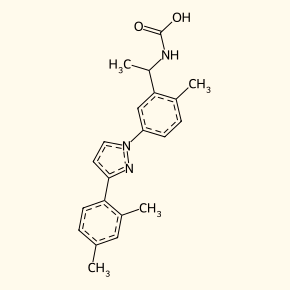 Cc1ccc(-c2ccn(-c3ccc(C)c(C(C)NC(=O)O)c3)n2)c(C)c1